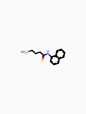 O=C(O)CCCC(=O)Nc1cccc2ccccc12